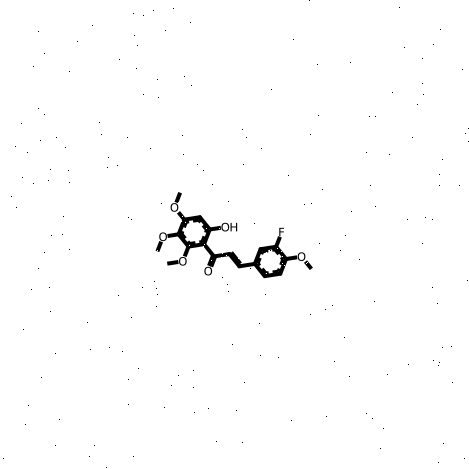 COc1ccc(/C=C/C(=O)c2c(O)cc(OC)c(OC)c2OC)cc1F